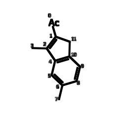 CC(=O)C1=C(C)c2cc(C)ccc2C1